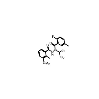 CCC(N(NC(=O)c1cccc(OC)c1C)C(=O)c1cc(C)ccc1F)C(C)(C)C